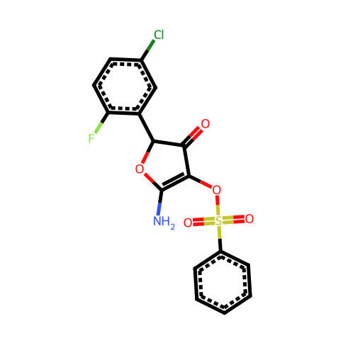 NC1=C(OS(=O)(=O)c2ccccc2)C(=O)C(c2cc(Cl)ccc2F)O1